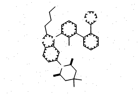 CCCCc1nc2ccc(N3C(=O)CC(C)(C)CC3=O)cc2n1-c1cccc(-c2ccccc2-c2nnn[nH]2)c1C